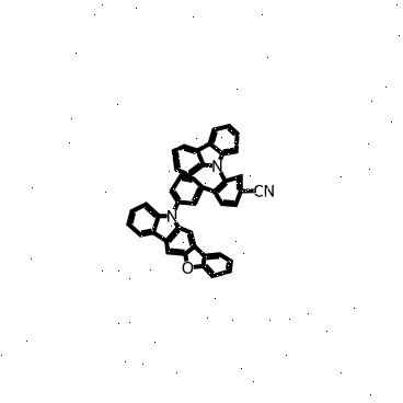 N#Cc1ccc(-c2cccc(-n3c4ccccc4c4cc5oc6ccccc6c5cc43)c2)c(-n2c3ccccc3c3ccccc32)c1